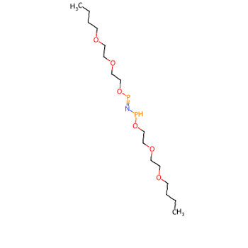 CCCCOCCOCCOP=NPOCCOCCOCCCC